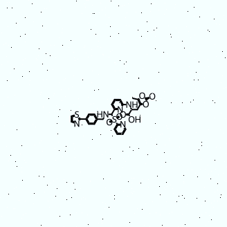 Cc1oc(=O)oc1CC(Nc1cccc(C(NCc2ccc(-c3nccs3)cc2)S(=O)(=O)c2ccccn2)n1)C(=O)O